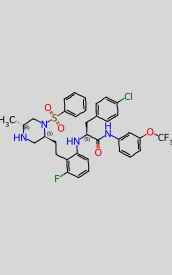 C[C@@H]1CN(S(=O)(=O)c2ccccc2)[C@@H](CCc2c(F)cccc2N[C@@H](Cc2ccc(Cl)cc2)C(=O)Nc2cccc(OC(F)(F)F)c2)CN1